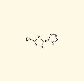 BrC1=CSC(=C2SC=CS2)S1